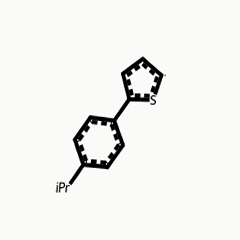 CC(C)c1ccc(-c2cc[c]s2)cc1